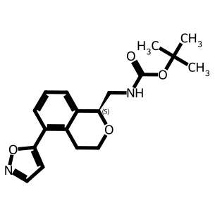 CC(C)(C)OC(=O)NC[C@H]1OCCc2c(-c3ccno3)cccc21